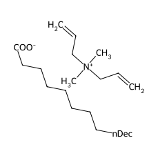 C=CC[N+](C)(C)CC=C.CCCCCCCCCCCCCCCCCC(=O)[O-]